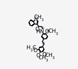 COc1ccc(/C=C/c2cc(OC)c(OC)c(OC)c2)cc1N/C=C\C(=O)c1cn(C)c2ccccc12